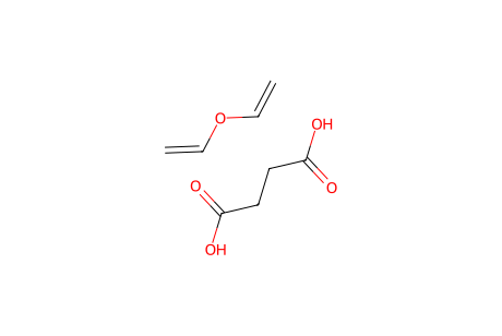 C=COC=C.O=C(O)CCC(=O)O